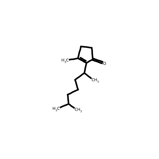 CC1=C(C(C)CCCC(C)C)C(=O)CC1